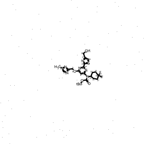 Cn1cnc(COc2cc(N(C(=O)OC(C)(C)C)C3CCC(F)(F)CC3)nc(-c3nc(CO)cs3)n2)n1